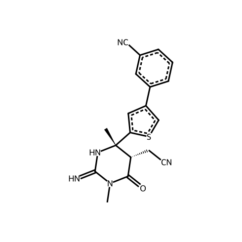 CN1C(=N)N[C@](C)(c2cc(-c3cccc(C#N)c3)cs2)[C@H](CC#N)C1=O